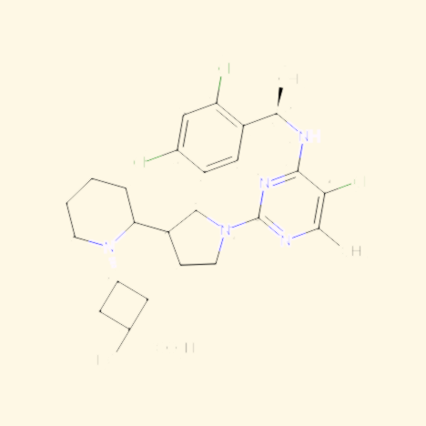 Cc1nc(N2CCC(C3CCCCN3[C@H]3C[C@@](C)(C(=O)O)C3)C2)nc(N[C@H](C)c2ccc(Cl)cc2Cl)c1Cl